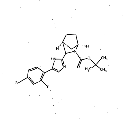 CC(C)(C)OC(=O)N1C(c2ncc(-c3ccc(Br)cc3F)[nH]2)[C@H]2CC[C@@H]1C2